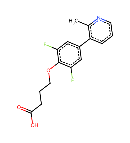 Cc1ncccc1-c1cc(F)c(OCCCC(=O)O)c(F)c1